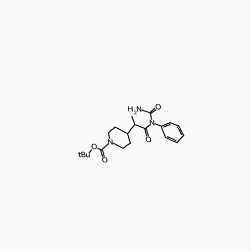 CC(C(=O)N(C(N)=O)c1ccccc1)C1CCN(C(=O)OC(C)(C)C)CC1